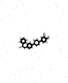 C[C@H](Cc1ccc(C2CCC(c3ccc(F)c(F)c3)CC2)cc1)c1ccccc1